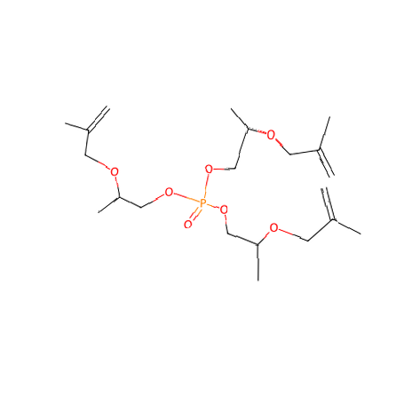 C=C(C)COC(C)COP(=O)(OCC(C)OCC(=C)C)OCC(C)OCC(=C)C